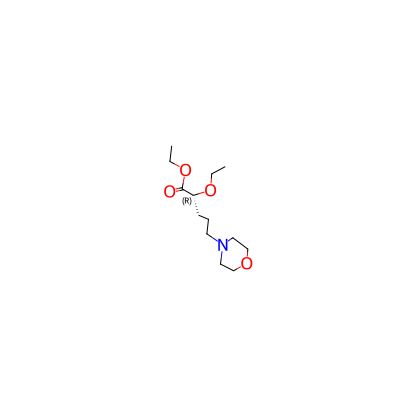 CCOC(=O)[C@@H](CCCN1CCOCC1)OCC